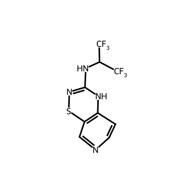 FC(F)(F)C(NC1=NSc2cnccc2N1)C(F)(F)F